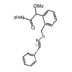 CNC(=O)C(OC)c1ccccc1CO/N=C/c1ccccc1